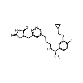 C[C@@H](NCCCc1cnnc(CN2CC(=S)NC2=O)c1)c1ccc(F)c(OCC2CC2)c1